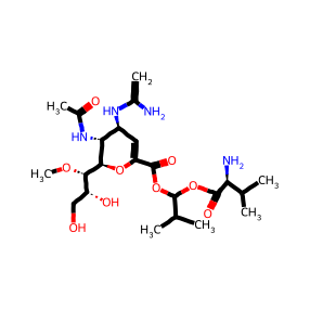 C=C(N)N[C@H]1C=C(C(=O)OC(OC(=O)[C@@H](N)C(C)C)C(C)C)O[C@@H]([C@@H](OC)[C@H](O)CO)[C@@H]1NC(C)=O